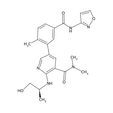 Cc1ccc(C(=O)Nc2ccon2)cc1-c1cnc(N[C@@H](C)CO)c(C(=O)N(C)C)c1